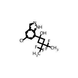 CC(F)(F)C1(C(C)(F)F)CC(O)(c2cc(Cl)cc3cn[nH]c23)C1